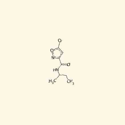 CCC(C)NC(=O)c1cc([O])on1